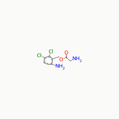 NCC(=O)OCc1c(N)ccc(Cl)c1Cl